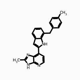 Cc1ccc(Cc2cccc3cc(-c4ccnc5[nH]c(C)nc45)[nH]c23)cc1